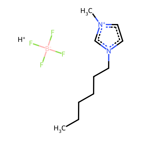 CCCCCCn1cc[n+](C)c1.F[B-](F)(F)F.[H+]